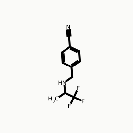 CC(NCc1ccc(C#N)cc1)C(F)(F)F